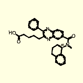 CN(C(=O)c1ccc2nc(-c3ccccc3)c(CCCCC(=O)O)nc2c1)[C@@H]1CCCc2ccccc21